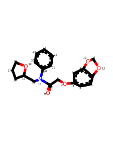 O=C(COc1ccc2c(c1)OCO2)N(CC1CCCO1)c1ccccc1